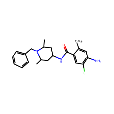 COc1cc(N)c(Cl)cc1C(=O)NC1CC(C)N(Cc2ccccc2)C(C)C1